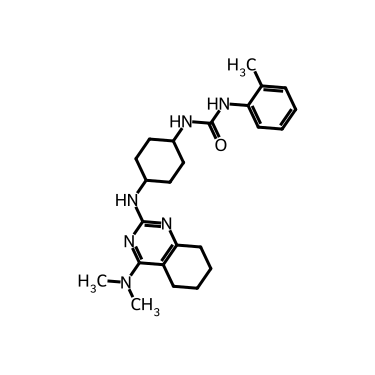 Cc1ccccc1NC(=O)NC1CCC(Nc2nc3c(c(N(C)C)n2)CCCC3)CC1